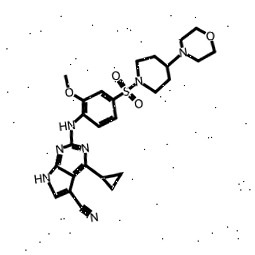 COc1cc(S(=O)(=O)N2CCC(N3CCOCC3)CC2)ccc1Nc1nc(C2CC2)c2c(C#N)c[nH]c2n1